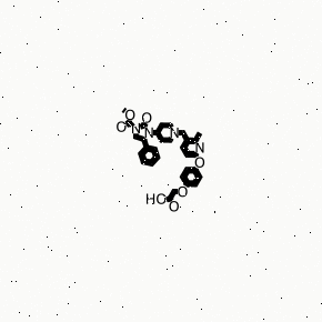 COC(=O)N1CC(c2ccccc2)N(C2CCN(Cc3ccc(Oc4ccc(OCC(=O)O)cc4)nc3C)CC2)C1=O